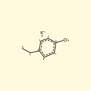 CCc1ccc([O-])cc1.[K+]